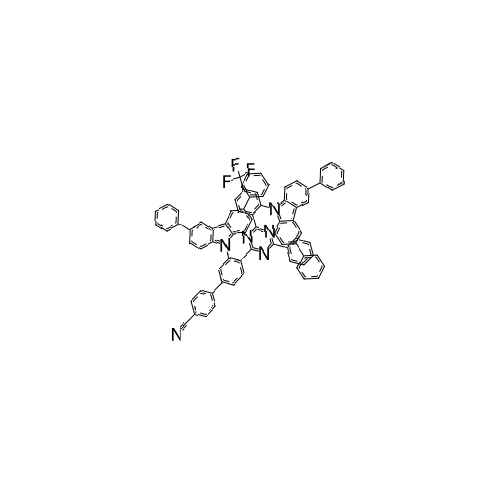 N#Cc1ccc(-c2ccc(-c3nc(-c4ccccc4)nc(-c4ccc(C(F)(F)F)cc4-n4c5ccc(-c6ccccc6)cc5c5cc(-c6ccccc6)ccc54)n3)c(-n3c4ccc(-c5ccccc5)cc4c4cc(-c5ccccc5)ccc43)c2)cc1